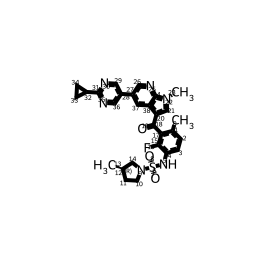 Cc1ccc(NS(=O)(=O)N2CC[C@@H](C)C2)c(F)c1C(=O)c1cn(C)c2ncc(-c3cnc(C4CC4)nc3)cc12